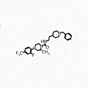 C[C@@H]1CN(c2ccc(C(F)(F)F)cc2F)CCN1C(=O)NCCC1CCN(Cc2ccccc2)CC1